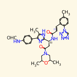 Cc1ccc(-n2cnnn2)c(/C=C/C(=O)N[C@@H](CC(=O)N2CC(C)OC(C)C2)c2nc(-c3ccc(NC=O)cc3)c(C)[nH]2)c1